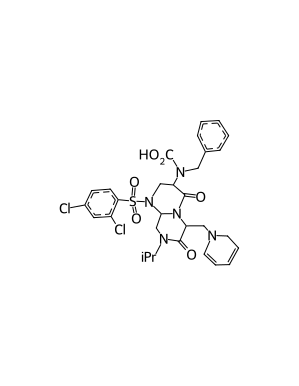 CC(C)N1CC2N(C(=O)C(N(Cc3ccccc3)C(=O)O)CN2S(=O)(=O)c2ccc(Cl)cc2Cl)C(CN2C=CC=CC2)C1=O